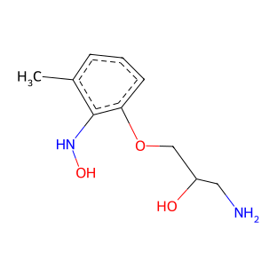 Cc1cccc(OCC(O)CN)c1NO